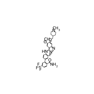 COc1cc2c(Nc3ccc(-c4cc(C(F)(F)F)ccc4C(N)=O)cc3F)ncnc2cc1OCC1CCN(C)CC1